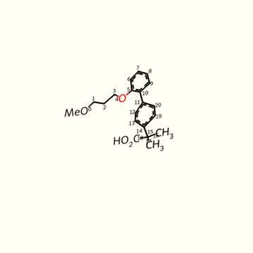 COCCCOc1ccccc1-c1ccc(C(C)(C)C(=O)O)cc1